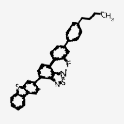 CCCCc1ccc(-c2ccc(-c3ccc(-c4ccc5c(c4)sc4ccccc45)c4nsnc34)c(F)c2)cc1